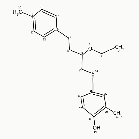 CCOC(CCc1ccc(C)cc1)CSc1ccc(O)c(C)c1